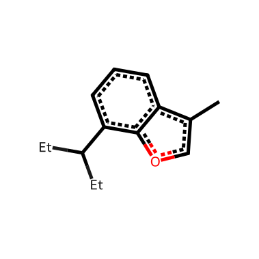 CCC(CC)c1cccc2c(C)coc12